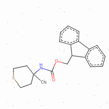 N#CC1(NC(=O)OCC2c3ccccc3-c3ccccc32)CCSCC1